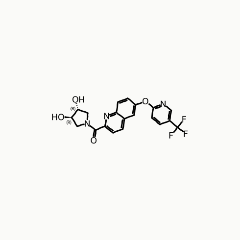 O=C(c1ccc2cc(Oc3ccc(C(F)(F)F)cn3)ccc2n1)N1C[C@@H](O)[C@H](O)C1